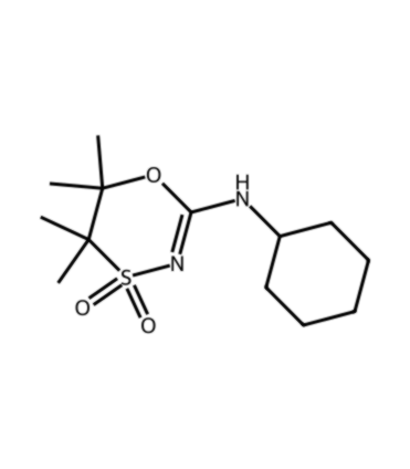 CC1(C)OC(NC2CCCCC2)=NS(=O)(=O)C1(C)C